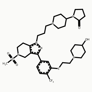 CS(=O)(=O)N1CCc2c(c(-c3ccc(C(F)(F)F)c(SCCN4CCC(O)CC4)c3)nn2CCCN2CCC(N3CCCC3=O)CC2)C1